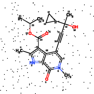 Cc1[nH]c2c(=O)n(C)cc(C#CC(C)(O)C3CC3)c2c1C(=O)OC(C)C(C)C